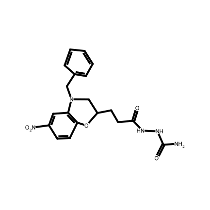 NC(=O)NNC(=O)CCC1CN(Cc2ccccc2)c2cc([N+](=O)[O-])ccc2O1